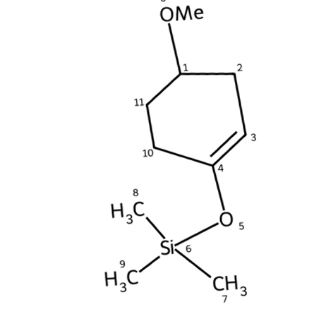 COC1CC=C(O[Si](C)(C)C)CC1